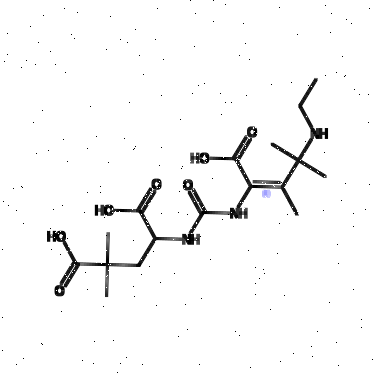 CCNC(C)(C)/C(C)=C(/NC(=O)NC(CC(C)(C)C(=O)O)C(=O)O)C(=O)O